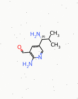 CC(C)[C@@H](N)c1cnc(N)c(C=O)c1